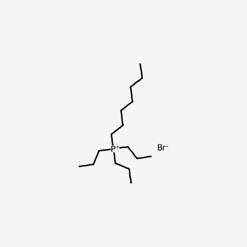 CCCCCCC[P+](CCC)(CCC)CCC.[Br-]